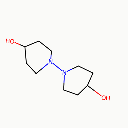 OC1CCN(N2CCC(O)CC2)CC1